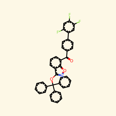 O=C(c1ccc(-c2cc(F)c(F)cc2F)cc1)c1cccc2c(OC(c3ccccc3)(c3ccccc3)c3ccccc3)noc12